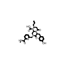 C=CCN1CC(=O)N2C(Cc3ccc(O)cc3)C(=O)N(Cc3cccc(C(=O)NC)n3)CC2N1C(=O)O